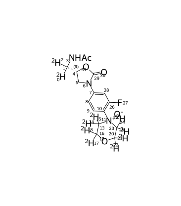 [2H]C([2H])(NC(C)=O)[C@H]1CN(c2ccc([N+]3([O-])C([2H])([2H])C([2H])([2H])OC([2H])([2H])C3([2H])[2H])c(F)c2)C(=O)O1